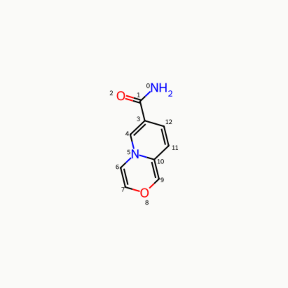 NC(=O)C1=CN2C=COC=C2C=C1